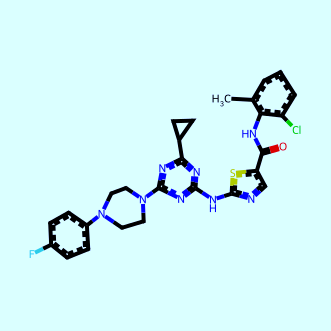 Cc1cccc(Cl)c1NC(=O)c1cnc(Nc2nc(C3CC3)nc(N3CCN(c4ccc(F)cc4)CC3)n2)s1